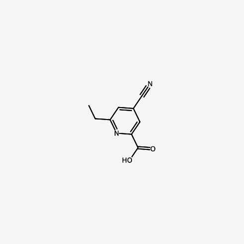 CCc1cc(C#N)cc(C(=O)O)n1